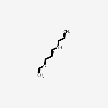 C=CCNC=CCOC=C